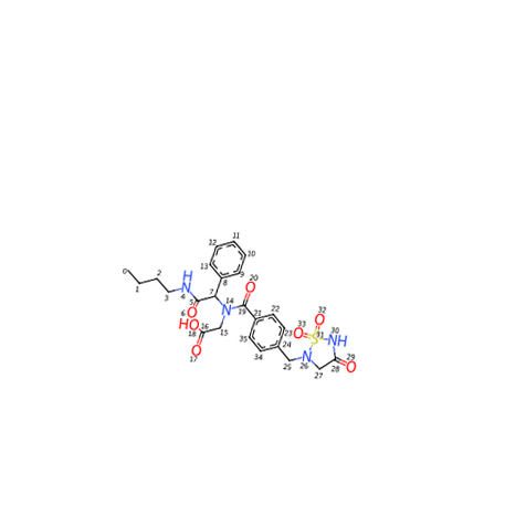 CCCCNC(=O)C(c1ccccc1)N(CC(=O)O)C(=O)c1ccc(CN2CC(=O)NS2(=O)=O)cc1